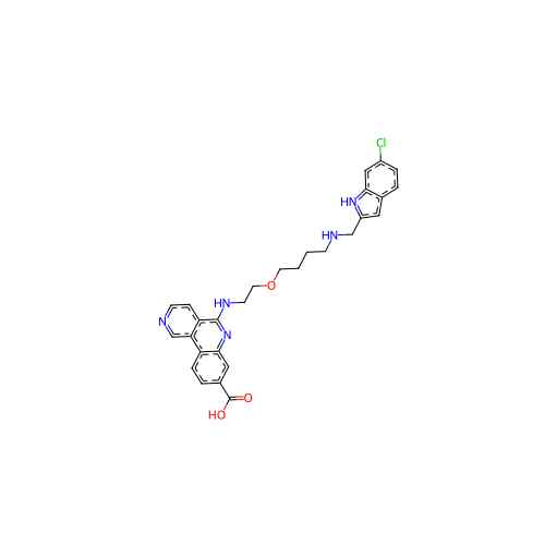 O=C(O)c1ccc2c(c1)nc(NCCOCCCCNCc1cc3ccc(Cl)cc3[nH]1)c1ccncc12